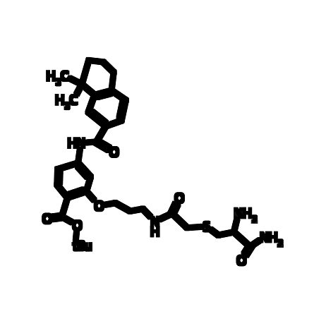 CC(C)(C)OC(=O)c1ccc(NC(=O)c2ccc3c(c2)C(C)(C)CCC3)cc1OCCCNC(=O)CSCC(N)C(N)=O